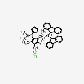 CC1=C(C)C(C)[C]([Ti]([C]2=CC=CC2)=[Si](C)C)=C1C.C[Si](C)=[Ti+4]([CH]1c2ccccc2-c2ccccc21)[CH]1c2ccccc2-c2ccccc21.[Cl-].[Cl-].[Cl-].[Cl-]